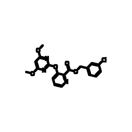 COc1cc(OC)nc(Oc2cccnc2C(=O)OCc2cccc(Cl)c2)n1